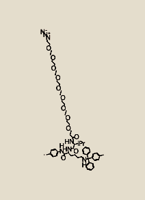 [CH2]c1ccc(NC(=O)[C@H](CCCCNC(c2ccccc2)(c2ccccc2)c2ccc(C)cc2)NC(=O)[C@@H](NC(=O)CCOCCOCCOCCOCCOCCOCCOCCOCCOCCN=[N+]=[N-])C(C)C)cc1